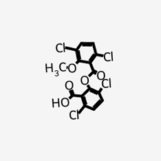 COc1c(Cl)ccc(Cl)c1C(=O)Oc1c(Cl)ccc(Cl)c1C(=O)O